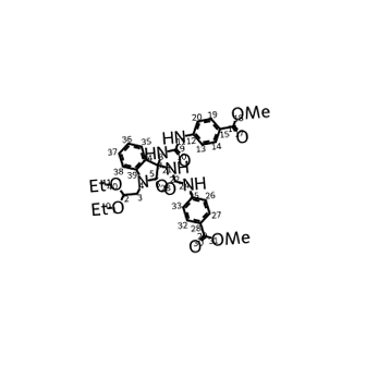 CCOC(CN1C(=O)C(NC(=O)Nc2ccc(C(=O)OC)cc2)(NC(=O)Nc2ccc(C(=O)OC)cc2)c2ccccc21)OCC